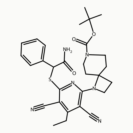 CCc1c(C#N)c(SC(C(N)=O)c2ccccc2)nc(N2CCC23CCN(C(=O)OC(C)(C)C)CC3)c1C#N